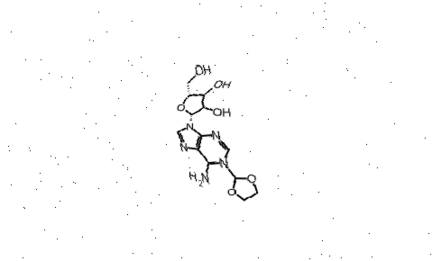 NC1c2ncn([C@@H]3O[C@H](CO)C(O)C3O)c2N=CN1C1OCCO1